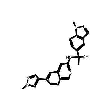 Cn1cc(-c2ccc3cnc(NC(C)(O)c4ccc5c(cnn5C)c4)cc3c2)cn1